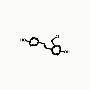 Oc1ccc(C=Cc2ccc(O)cc2CCl)cc1